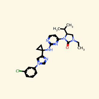 CCN1CC(C(C)C)N(c2ccnc(NC3(c4cn(-c5cccc(Cl)c5)cn4)CC3)n2)C1=O